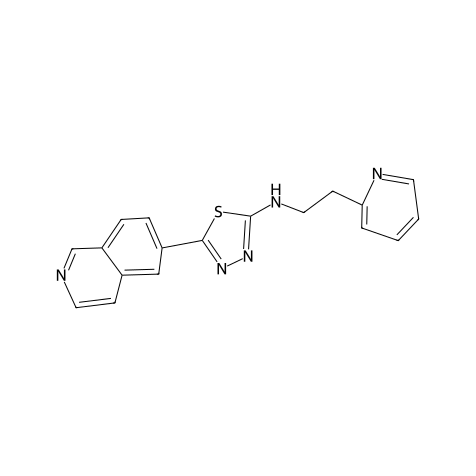 c1ccc(CCNc2nnc(-c3ccc4cnccc4c3)s2)nc1